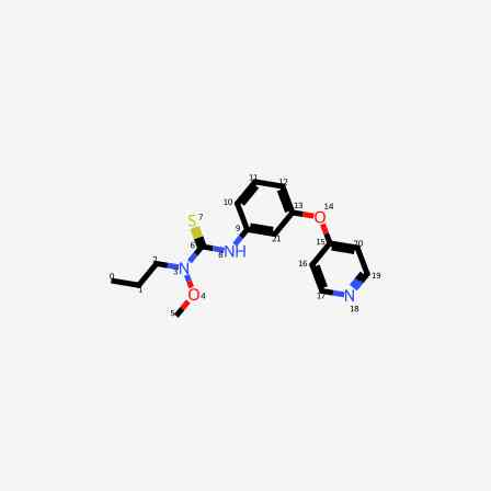 CCCN(OC)C(=S)Nc1cccc(Oc2ccncc2)c1